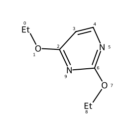 CCOc1ccnc(OCC)n1